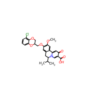 COc1cc2c(cc1OCC1COc3c(Cl)cccc3O1)CC(C(C)C)n1cc(C(=O)O)c(=O)cc1-2